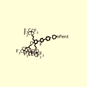 CCCCC[C@H]1CC[C@H](c2ccc(-c3ccc(-c4cc(CCCOC(C(F)(F)F)(C(F)(F)F)C(F)(F)F)c(OCCC(COC(C(F)(F)F)(C(F)(F)F)C(F)(F)F)COC(C(F)(F)F)(C(F)(F)F)C(F)(F)F)c(CCCOC(C(F)(F)F)(C(F)(F)F)C(F)(F)F)c4)c(F)c3)cc2)CC1